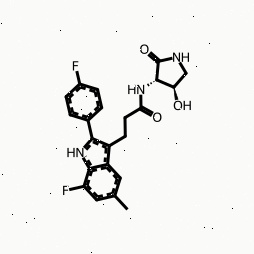 Cc1cc(F)c2[nH]c(-c3ccc(F)cc3)c(CCC(=O)N[C@@H]3C(=O)NC[C@H]3O)c2c1